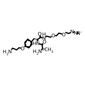 C[C@H](N)C(=O)N[C@@H](Cc1ccc(OCCCN)cc1)C(=O)NCCOCCOCCN=[N+]=[N-]